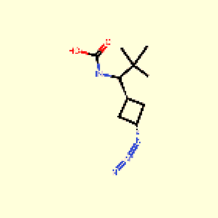 CC(C)(C)C(NC(=O)O)[C@H]1C[C@H](N=[N+]=[N-])C1